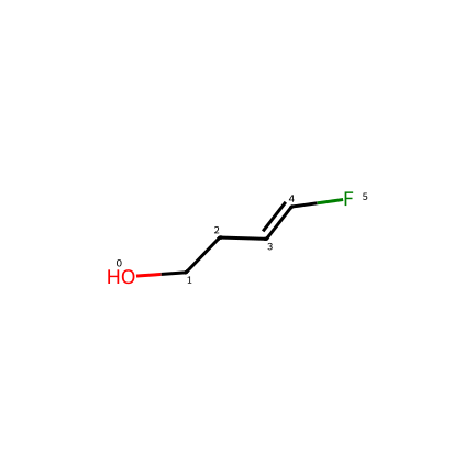 OCCC=CF